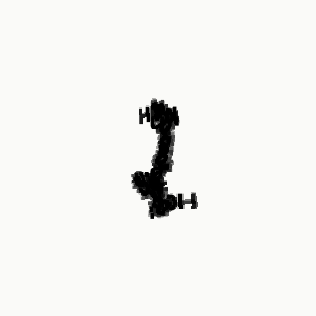 C=C1CCC(c2nn(C)c3cc(N4CCN(C5CC6(CCN(CC7(COc8nc(N9CCC[C@]%10(CCO%10)C9)c9cnc(-c%10cc(O)cc%11ccc(F)c(CC)c%10%11)c(F)c9n8)CC7)CC6)C5)CC4)ccc23)C(=O)N1